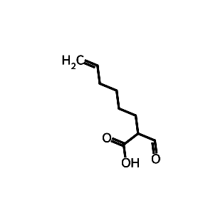 C=CCCCCC(C=O)C(=O)O